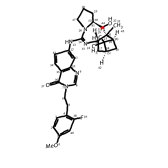 COc1ccc(CCn2cnc3cc(NC(=N[C@H]4C[C@@H]5C[C@H]([C@@H]4C)C5(C)C)N4CCC[C@H]4CO)ccc3c2=O)c(F)c1